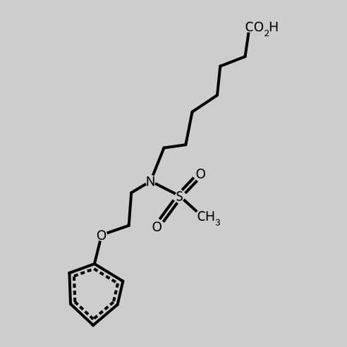 CS(=O)(=O)N(CCCCCCC(=O)O)CCOc1ccccc1